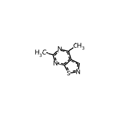 Cc1nc(C)c2cnsc2n1